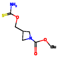 CC(C)(C)OC(=O)N1CC(COC(N)=S)C1